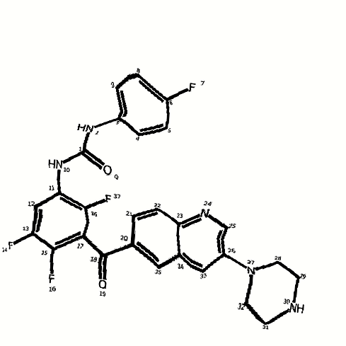 O=C(Nc1ccc(F)cc1)Nc1cc(F)c(F)c(C(=O)c2ccc3ncc(N4CCNCC4)cc3c2)c1F